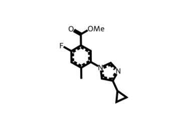 COC(=O)c1cc(-n2cnc(C3CC3)c2)c(C)cc1F